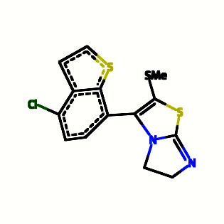 CSC1=C(c2ccc(Cl)c3ccsc23)N2CCN=C2S1